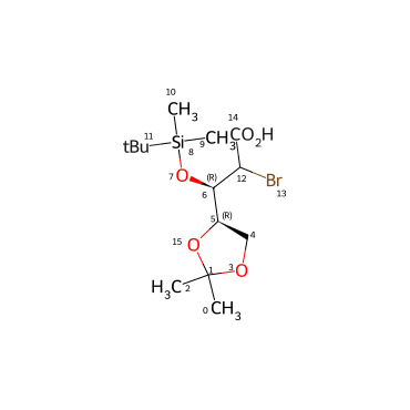 CC1(C)OC[C@H]([C@@H](O[Si](C)(C)C(C)(C)C)C(Br)C(=O)O)O1